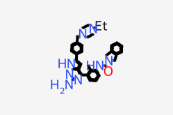 CCN1CCN(Cc2ccc(-c3cc4c(-c5cccc(NC(=O)N6Cc7ccccc7C6)c5C)nc(N)nc4[nH]3)cc2)CC1